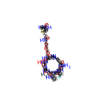 C[C@H]1NC(=O)[C@H]2CCCN2C(=O)[C@@H](CO)NC(=O)[C@@H](NC(=O)COCCOCCOCCNC(=O)CCCC[C@@H]2SC[C@@H]3NC(=O)N[C@@H]32)Cc2cn(nn2)CCCC[C@@H](C(N)=O)NC(=O)[C@H](Cc2ccc(F)cc2)NC(=O)[C@@H](Cc2c[nH]c3ccccc23)NC1=O